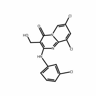 O=c1c(CO)c(Nc2cccc(Cl)c2)nc2c(Cl)cc(Cl)cn12